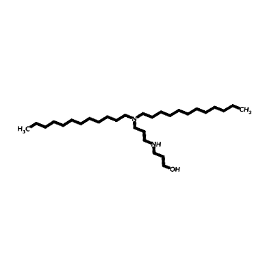 CCCCCCCCCCCCN(CCCCCCCCCCCC)CCCNCCCO